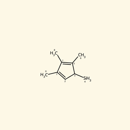 CC1=CC([SiH3])C(C)=C1C